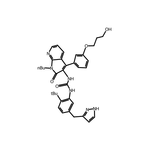 CCCCn1c(=O)c(NC(=O)Nc2cc(Cc3cc[nH]n3)ccc2C(C)(C)C)c(-c2cccc(OCCCO)c2)c2cccnc21